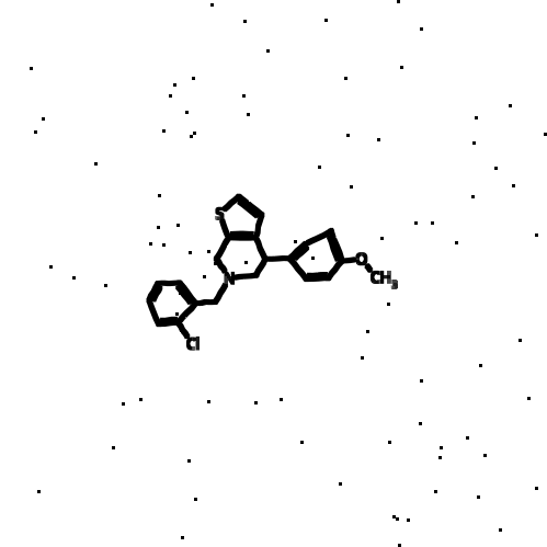 COc1ccc(C2CN(Cc3ccccc3Cl)Cc3sccc32)cc1